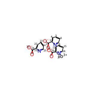 O=C([O-])c1ccccn1.O=C([O-])c1ccccn1.O=C([O-])c1ccccn1.[Tb+3]